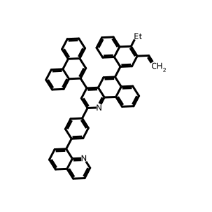 C=Cc1cc(-c2cc3c(-c4cc5ccccc5c5ccccc45)cc(-c4ccc(-c5cccc6cccnc56)cc4)nc3c3ccccc23)c2ccccc2c1CC